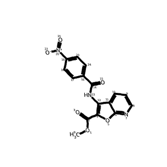 COC(=O)c1oc2ncccc2c1NC(=O)c1ccc([N+](=O)[O-])cc1